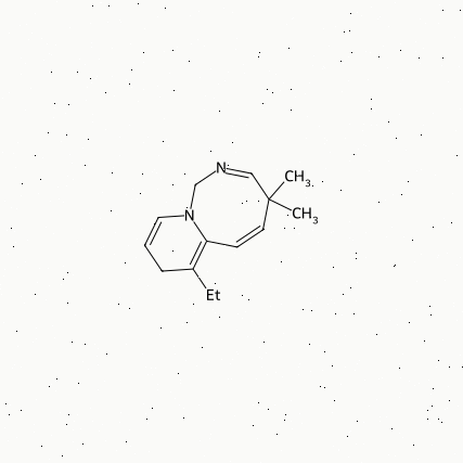 CCC1=C2/C=C\C(C)(C)/C=N\CN2C=CC1